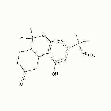 CCCCCC(C)(C)c1cc(O)c2c(c1)OC(C)(C)C1CCC(=O)CC21